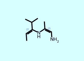 C/C=C(\N/C(C)=C\N)C(C)C